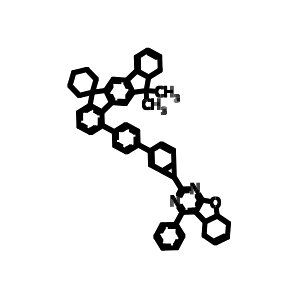 CC1(C)c2cc3c(cc2C2=CC=CCC21)C1(CCCCC1)c1cccc(-c2ccc(C4=CC5C(C=C4)C5c4nc5c(c(-c6ccccc6)n4)C4CC=CCC4O5)cc2)c1-3